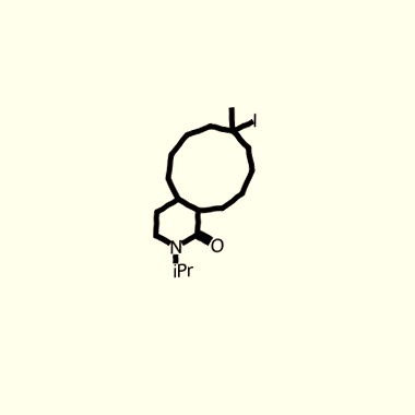 CC(C)N1CCC2CCCCC(C)(I)CCCCC2C1=O